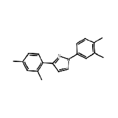 [CH2]c1cc(-n2ccc(-c3ccc(C)cc3C)n2)ccc1C